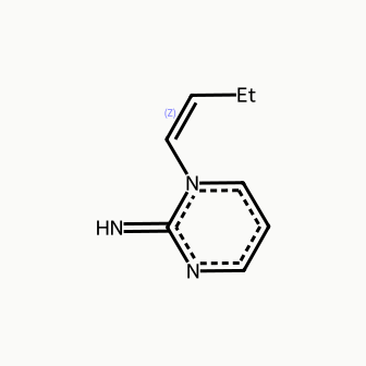 CC/C=C\n1cccnc1=N